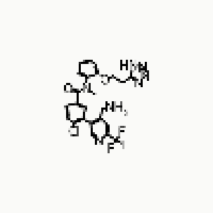 CN(C(=O)c1ccc(Cl)c(-c2cnc(C(F)(F)F)cc2CN)c1)c1ccccc1OCCc1nnn[nH]1